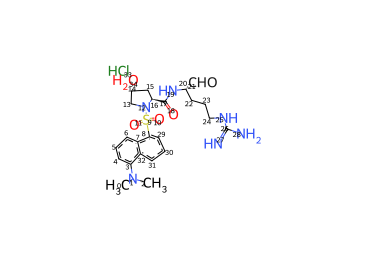 CN(C)c1cccc2c(S(=O)(=O)N3CCC[C@H]3C(=O)N[C@H](C=O)CCCNC(=N)N)cccc12.Cl.O